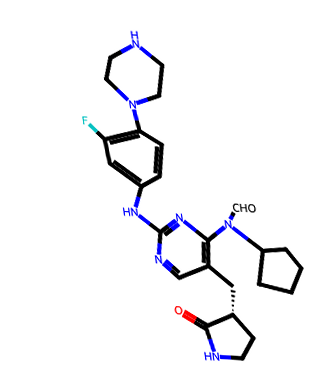 O=CN(c1nc(Nc2ccc(N3CCNCC3)c(F)c2)ncc1C[C@@H]1CCNC1=O)C1CCCC1